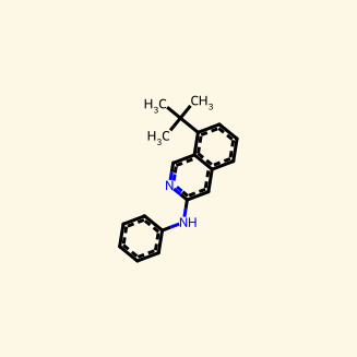 CC(C)(C)c1cccc2cc(Nc3ccccc3)ncc12